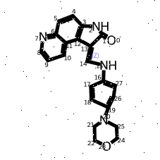 O=C1Nc2ccc3ncccc3c2/C1=C/Nc1ccc(N2CCOCC2)cc1